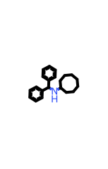 c1ccc(C(NC2CCCCCCC2)c2ccccc2)cc1